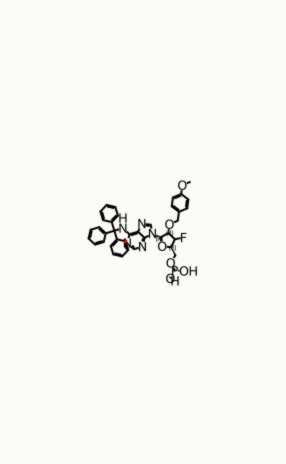 COc1ccc(CO[C@H]2C(F)[C@@H](CO[PH](=O)O)O[C@H]2n2cnc3c(NC(c4ccccc4)(c4ccccc4)c4ccccc4)ncnc32)cc1